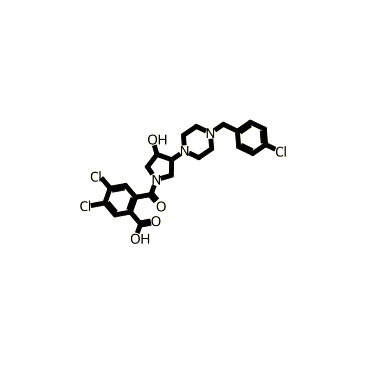 O=C(O)c1cc(Cl)c(Cl)cc1C(=O)N1CC(O)C(N2CCN(Cc3ccc(Cl)cc3)CC2)C1